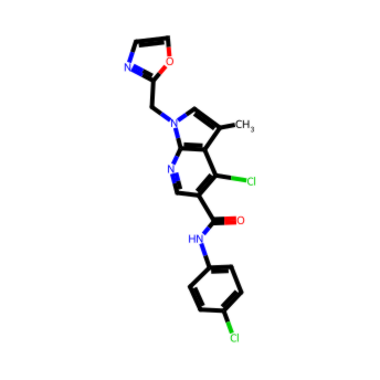 Cc1cn(Cc2ncco2)c2ncc(C(=O)Nc3ccc(Cl)cc3)c(Cl)c12